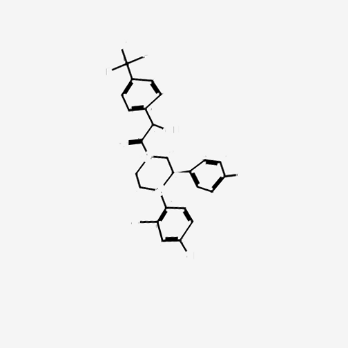 O=C(C(O)c1ccc(C(F)(F)F)cc1)N1CCN(c2ccc(Cl)cc2Cl)[C@H](c2ccc(Cl)cc2)C1